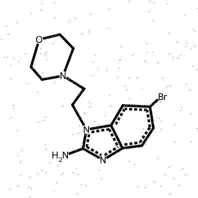 Nc1nc2ccc(Br)cc2n1CCN1CCOCC1